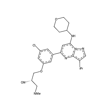 CNC[C@@H](COc1cc(Cl)cc(-c2cc(NC3CCOCC3)n3ncc(C(C)C)c3n2)c1)N=O